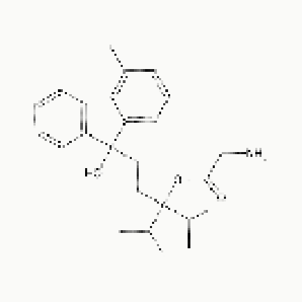 Cc1cccc(C(O)(CCC(OC(=O)CN)(C(C)C)C(C)C)c2ccccc2)c1